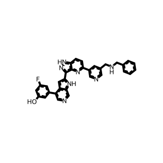 Oc1cc(F)cc(-c2cncc3[nH]c(-c4n[nH]c5ccc(-c6cncc(CNCc7ccccc7)c6)nc45)cc23)c1